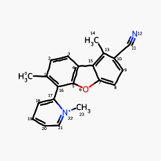 Cc1ccc2c(oc3ccc(C#N)c(C)c32)c1-c1cccc[n+]1C